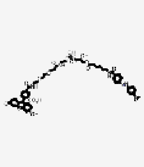 CN(C)c1ccc(/N=N/c2ccc(C(=O)NCCCCCC(=O)OCC(O)COP(=O)(O)OCCNC(=O)CCOCCOCCNC(=O)c3ccc(-c4c5ccc(=O)cc-5oc5cc(O)ccc45)c(C(=O)O)c3)cc2)cc1